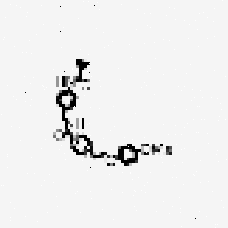 COc1ccc(OCCN2CCN(C(=O)NCc3ccc(NC(=O)C4CC4)cc3)CC2)cc1